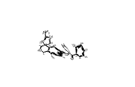 NC1=NC2(COCc3ccc(NC(=O)c4ccccc4)cc32)CS1